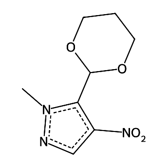 Cn1ncc([N+](=O)[O-])c1C1OCCCO1